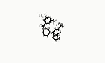 Cc1cc(C(=O)N2CCC[C@H](c3cc(C(F)F)nc4ncnn34)C2)cc(C)n1